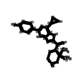 CC1(C)CNCCN1C(=O)c1cc2nc(-c3ccc(F)cc3)cc(C3CC3)c2o1